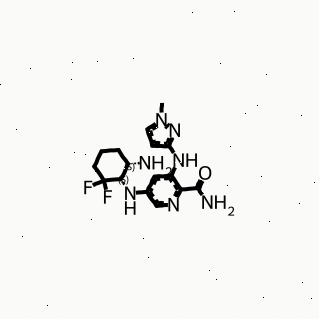 Cn1ccc(Nc2cc(N[C@H]3[C@@H](N)CCCC3(F)F)cnc2C(N)=O)n1